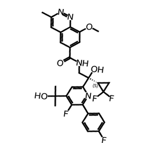 COc1cc(C(=O)NCC(O)(c2cc(C(C)(C)O)c(F)c(-c3ccc(F)cc3)n2)[C@@H]2CC2(F)F)cc2cc(C)nnc12